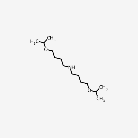 CC(C)OCCCCNCCCCOC(C)C